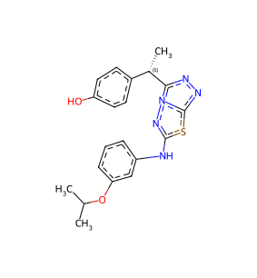 CC(C)Oc1cccc(Nc2nn3c([C@@H](C)c4ccc(O)cc4)nnc3s2)c1